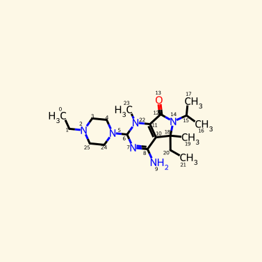 CCN1CCN(C2N=C(N)C3=C(C(=O)N(C(C)C)C3(C)CC)N2C)CC1